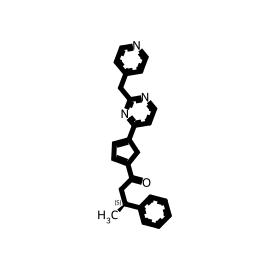 C[C@@H](CC(=O)C1=CC=C(c2ccnc(Cc3ccncc3)n2)C1)c1ccccc1